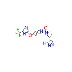 O=C(N1CC[C@H](c2cnn[nH]2)C1)N1CC2(CC(Oc3cncc(C(F)(F)F)n3)C2)C1